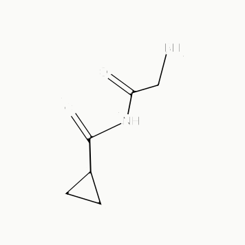 BCC(=O)NC(=O)C1CC1